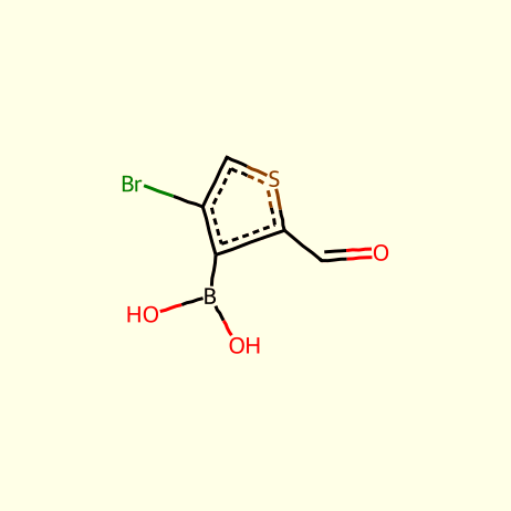 O=Cc1scc(Br)c1B(O)O